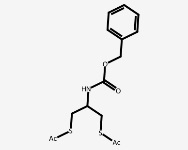 CC(=O)SCC(CSC(C)=O)NC(=O)OCc1ccccc1